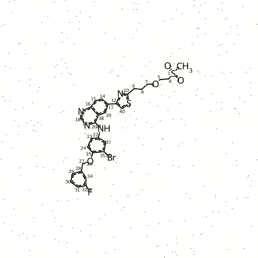 CS(=O)(=O)CCOCCCc1nc(-c2ccc3ncnc(Nc4ccc(OCc5cccc(F)c5)c(Br)c4)c3c2)cs1